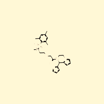 Cc1cc(C)c(S(=O)(=O)N(C)CCOCC(=O)N2CCn3cccc3C2c2cccs2)c(C)c1